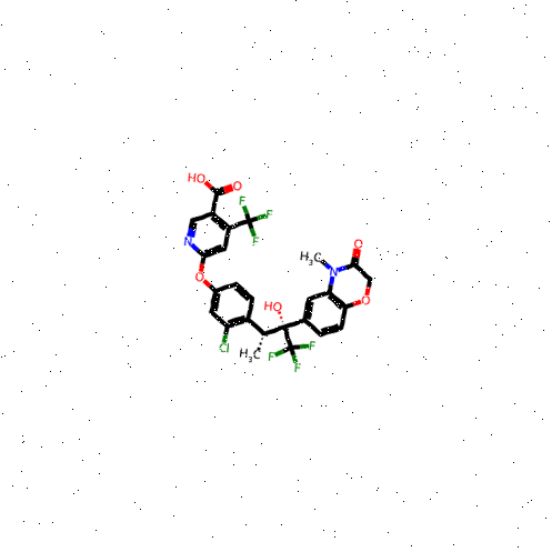 C[C@H](c1ccc(Oc2cc(C(F)(F)F)c(C(=O)O)cn2)cc1Cl)[C@@](O)(c1ccc2c(c1)N(C)C(=O)CO2)C(F)(F)F